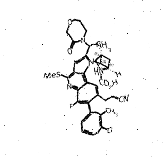 CSc1nc2c(F)c(-c3cccc(Cl)c3C)c(CCC#N)cc2c2c1cc(C(C)N1CCOCC1=O)n2[C@H]1[C@@H]2C[C@H]1N(C(=O)O)C2